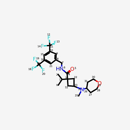 CC(C)C1(C(=O)NCc2cc(C(F)(F)F)cc(C(F)(F)F)c2)CC(N(C)C2CCOCC2)C1